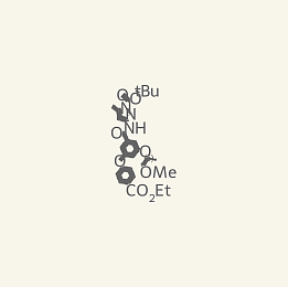 CCOC(=O)c1ccc(Oc2cc(O[C@@H](C)COC)cc(C(=O)Nc3cc(C)n(C(=O)OC(C)(C)C)n3)c2)cc1